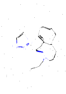 CCN1CCC2CC=CC=C2C1.c1c[nH]nn1